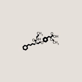 CCCNC(=O)N(CCCCC1CCCCC1)CCOc1ccc(CC(OCC)C(=O)O)cc1